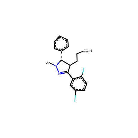 CC(=O)N1N=C(c2cc(F)ccc2F)C(CCC(=O)O)[C@H]1c1ccccc1